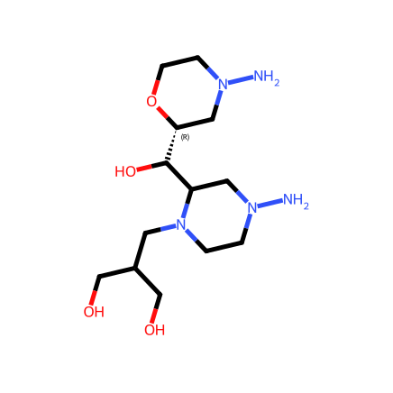 NN1CCN(CC(CO)CO)C(C(O)[C@H]2CN(N)CCO2)C1